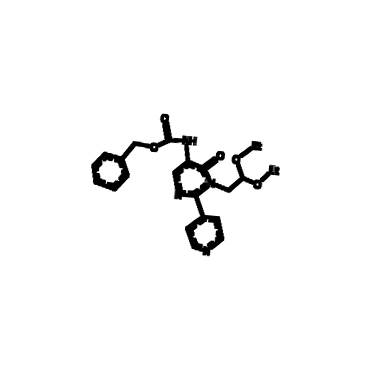 CCOC(Cn1c(-c2ccncc2)ncc(NC(=O)OCc2ccccc2)c1=O)OCC